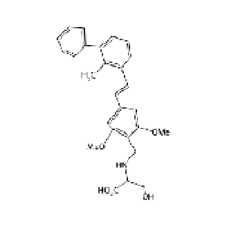 COc1cc(C=Cc2cccc(-c3ccccc3)c2C)cc(OC)c1CNC(CO)C(=O)O